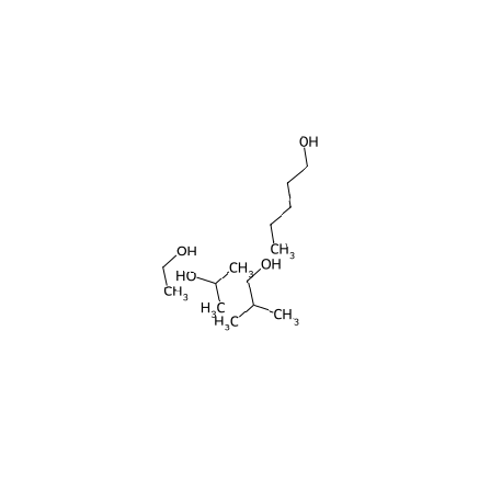 CC(C)CO.CC(C)O.CCCCCO.CCO